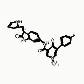 Cn1cc(C(=O)Nc2ccc3c(c2)NC(=O)/C3=C\c2ccc[nH]2)c(=O)c(-c2ccc(F)cc2)c1